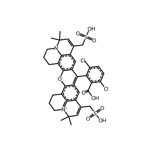 CC1(C)C=C(CS(=O)(=O)O)c2cc3c(c4c2N1CCC4)Oc1c2c4c(cc1=C3c1c(Cl)ccc(Cl)c1C(=O)O)C(CS(=O)(=O)O)=CC(C)(C)[N+]=4CCC2